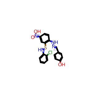 O=[N+](O)c1ccc(N/N=C/c2ccc(O)cc2)c(SNc2ccccc2Cl)c1